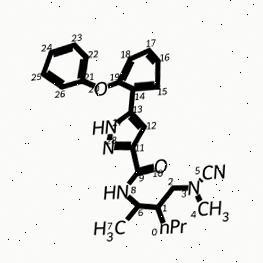 CCCC(CN(C)C#N)C(C)NC(=O)c1cc(-c2ccccc2Oc2ccccc2)[nH]n1